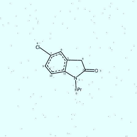 CCCN1C(=O)Cc2cc(Cl)ccc21